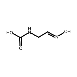 O=C(O)NCC=NO